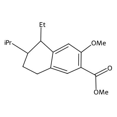 CCC1c2cc(OC)c(C(=O)OC)cc2CCC1C(C)C